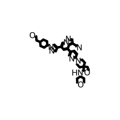 CCC1(C(=O)NC2CCOCC2)CCN(c2ccc(-c3cc(-c4cnn(C5CCC(CC=O)CC5)c4)cn4ncc(C#N)c34)cn2)CC1